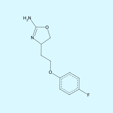 NC1=NC(CCOc2ccc(F)cc2)CO1